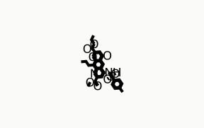 CCCc1c2nc(C(=O)OC)cc(NS(=O)(=O)c3ccc(C)cc3)c2cc2c(=O)cc(C(=O)OCC)oc12